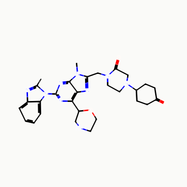 CCc1nc2ccccc2n1-c1nc(C2CNCCO2)c2nc(CN3CCN(C4CCC(=O)CC4)CC3=O)n(C)c2n1